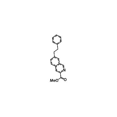 COC(=O)c1cc2ccc(CCc3ccccc3)cc2cn1